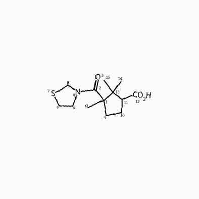 CC1(C(=O)N2CCSC2)CCC(C(=O)O)C1(C)C